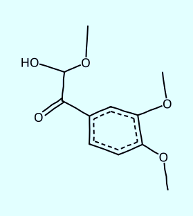 COc1ccc(C(=O)C(O)OC)cc1OC